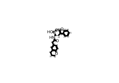 O=C(Cc1ccc2c(c1)CCCO2)N[C@@H](Cc1coc2ccccc12)B(O)O